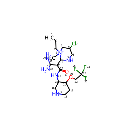 CCC[N+]1(C)CC(Cl)CNC1C(C(=O)NC1CNCCC1OCC(F)(F)F)C(N)N